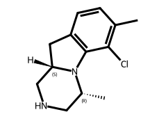 Cc1ccc2c(c1Cl)N1[C@H](CNC[C@H]1C)C2